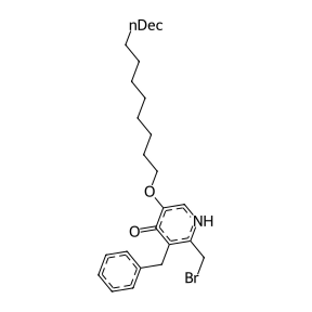 CCCCCCCCCCCCCCCCCCOc1c[nH]c(CBr)c(Cc2ccccc2)c1=O